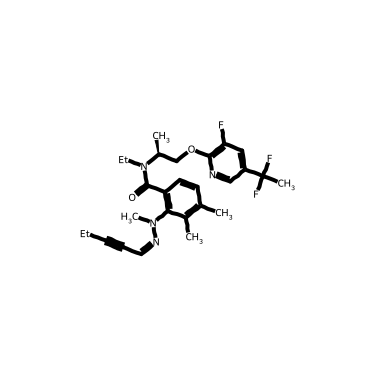 CCC#C/C=N\N(C)c1c(C(=O)N(CC)[C@@H](C)COc2ncc(C(C)(F)F)cc2F)ccc(C)c1C